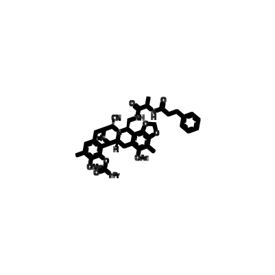 CCCC(=O)Oc1c(OC)c(C)cc2c1C1[C@@H]3Cc4c(OC(C)=O)c(C)c5c(c4[C@H](CNC(=O)C(C)NC(=O)CCc4ccccc4)N3[C@@H](C#N)C(C2)N1C)OCO5